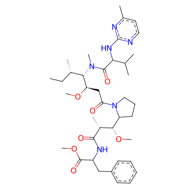 CC[C@H](C)[C@@H]([C@@H](CC(=O)N1CCCC1[C@H](OC)[C@@H](C)C(=O)NC(Cc1ccccc1)C(=O)OC)OC)N(C)C(=O)C(Nc1nccc(C)n1)C(C)C